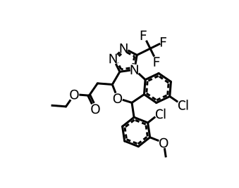 CCOC(=O)CC1OC(c2cccc(OC)c2Cl)c2cc(Cl)ccc2-n2c1nnc2C(F)(F)F